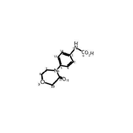 O=C(O)Nc1ccc(N2CCOCC2=O)cc1